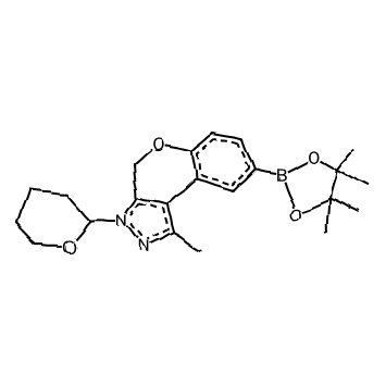 Cc1nn(C2CCCCO2)c2c1-c1cc(B3OC(C)(C)C(C)(C)O3)ccc1OC2